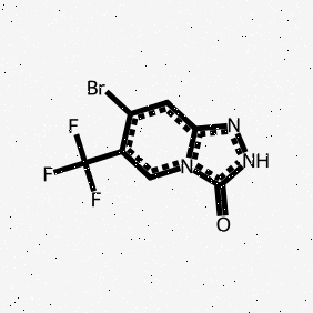 O=c1[nH]nc2cc(Br)c(C(F)(F)F)cn12